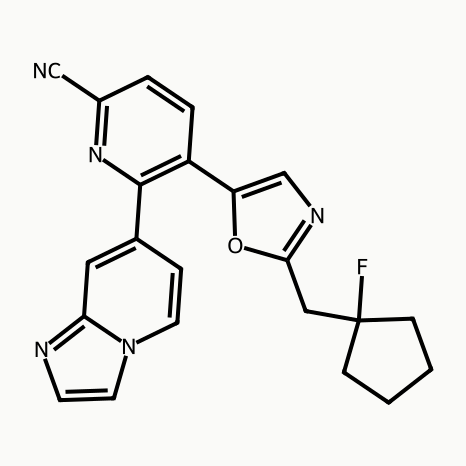 N#Cc1ccc(-c2cnc(CC3(F)CCCC3)o2)c(-c2ccn3ccnc3c2)n1